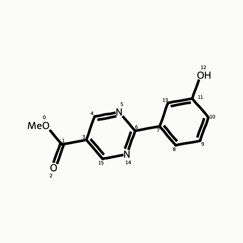 COC(=O)c1cnc(-c2cccc(O)c2)nc1